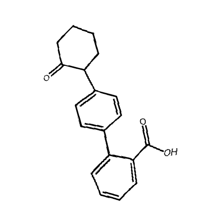 O=C(O)c1ccccc1-c1ccc(C2CCCCC2=O)cc1